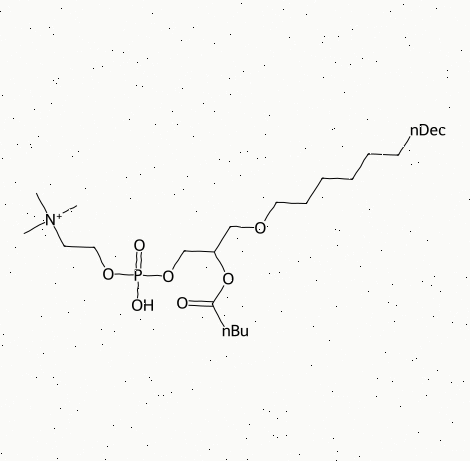 CCCCCCCCCCCCCCCCOCC(COP(=O)(O)OCC[N+](C)(C)C)OC(=O)CCCC